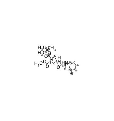 COC(=O)[C@@H]1C[C@@H](NC(=O)c2cc3c(Br)cccc3[nH]2)CN1C(=O)OC(C)(C)C